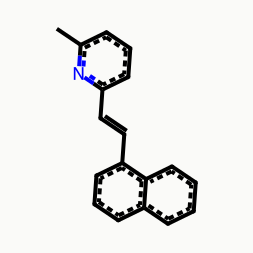 Cc1cccc(C=Cc2cccc3ccccc23)n1